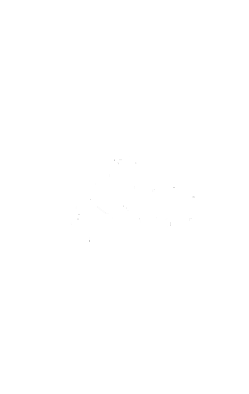 O=C(O)NC1Cc2cc(Cl)ccc2N(Cc2ccccc2)C1